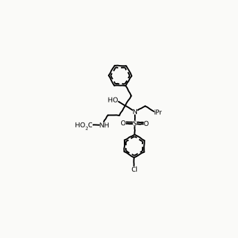 CC(C)CN(C(O)(CCNC(=O)O)Cc1ccccc1)S(=O)(=O)c1ccc(Cl)cc1